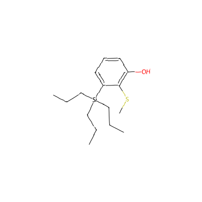 CCC[Si](CCC)(CCC)c1cccc(O)c1SC